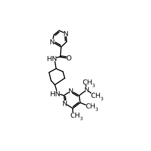 Cc1nc(NC2CCC(NC(=O)c3cnccn3)CC2)nc(N(C)C)c1C